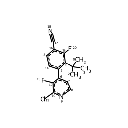 CC(C)(C)c1c(-c2ccnc(Cl)c2F)ccc(C#N)c1F